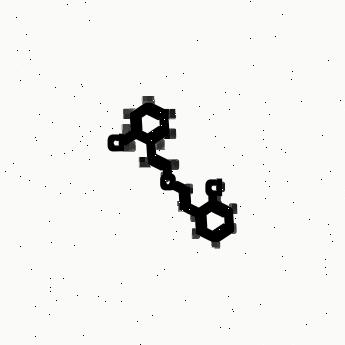 Clc1ccccc1C=COC=Cc1ccccc1Cl